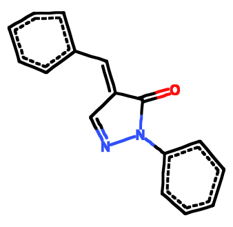 O=C1C(=Cc2ccccc2)C=NN1c1ccccc1